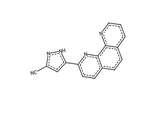 N#Cc1cc(-c2ccc3ccc4cccnc4c3n2)[nH]n1